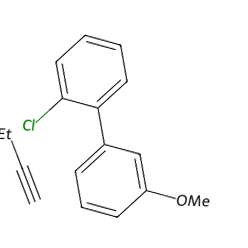 C#CCC.COc1cccc(-c2ccccc2Cl)c1